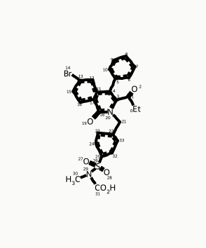 CCC(=O)c1c(-c2ccccc2)c2cc(Br)ccc2c(=O)n1Cc1ccc(S(=O)(=O)N(C)C(=O)O)cc1